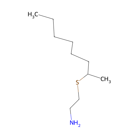 CCCCCCC(C)SCCN